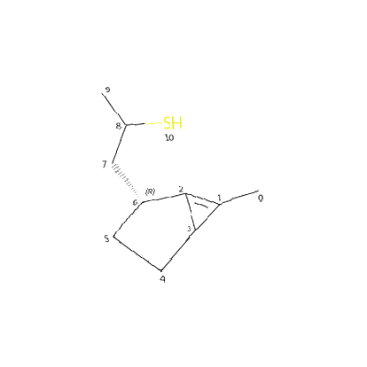 CC1=C2C1CC[C@@H]2CC(C)S